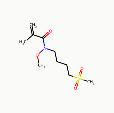 C=C(C)C(=O)N(CCCCS(C)(=O)=O)OC